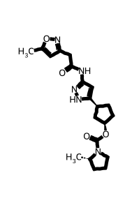 Cc1cc(CC(=O)Nc2cc([C@H]3CC[C@@H](OC(=O)N4CCC[C@@H]4C)C3)[nH]n2)no1